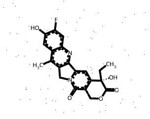 CC[C@@]1(O)C(=O)OCc2c1cc1n(c2=O)Cc2c-1nc1cc(F)c(O)cc1c2C